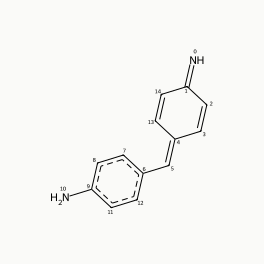 N=C1C=CC(=Cc2ccc(N)cc2)C=C1